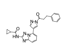 O=C(Nc1nc2cccc(-c3cnn(C(=O)CCc4ccccc4)c3)n2n1)C1CC1